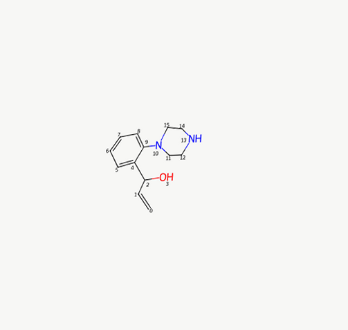 C=CC(O)c1ccccc1N1CCNCC1